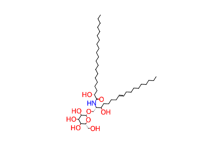 CCCCCCCCC/C=C/CCCC[C@@H](O)[C@H](CO[C@@H]1O[C@H](CO)[C@@H](O)C(O)C1O)NC(=O)[C@H](O)CCCCCCCCCCCCCCCCCCC